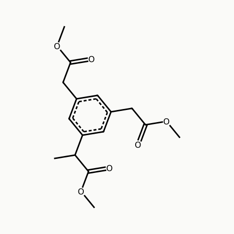 COC(=O)Cc1cc(CC(=O)OC)cc(C(C)C(=O)OC)c1